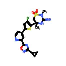 CN1C(=N)N[C@](C)(c2sc(-c3ccnc(-c4nc(C5CC5)no4)c3)cc2Cl)CS1(=O)=O